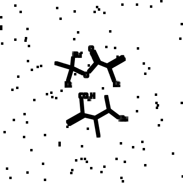 C=C(C(=O)O)C(C)C(C)C(C)CC.C=C(CC)C(=O)OC(C)(CC)C(C)CC